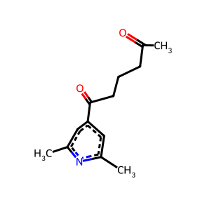 CC(=O)CCCC(=O)c1cc(C)nc(C)c1